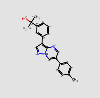 Cc1ccc(-c2cnc3c(-c4cccc(C(C)(C)O)c4)cnn3c2)cc1